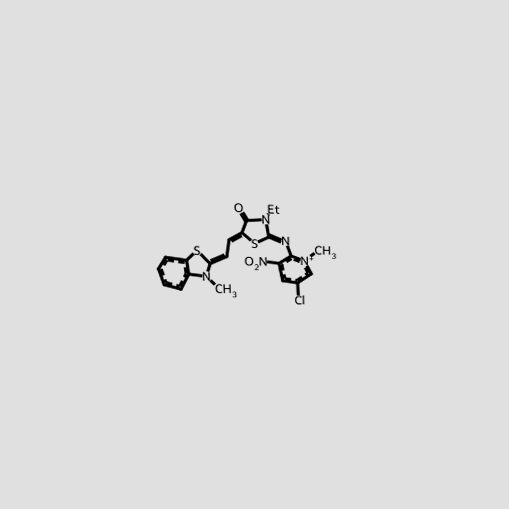 CCN1C(=O)/C(=C/C=C2\Sc3ccccc3N2C)S/C1=N\c1c([N+](=O)[O-])cc(Cl)c[n+]1C